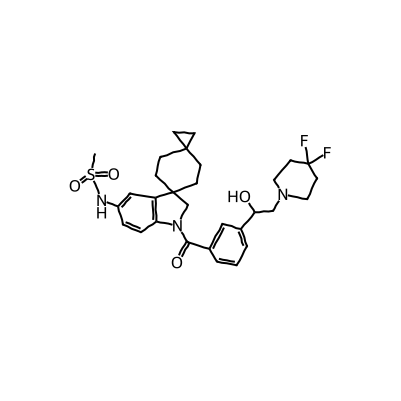 CS(=O)(=O)Nc1ccc2c(c1)C1(CCC3(CC3)CC1)CN2C(=O)c1cccc(C(O)CN2CCC(F)(F)CC2)c1